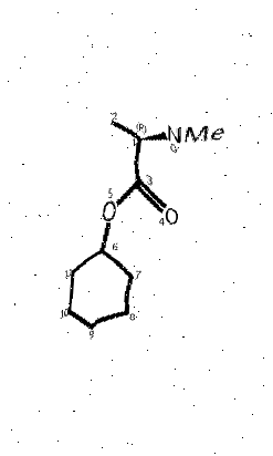 CN[C@H](C)C(=O)OC1CCCCC1